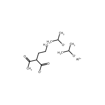 CC(C)[O-].CC(C)[O-].CCCC(C(C)=O)C(=O)[O-].[Al+3]